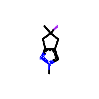 Cn1cc2c(n1)CC(C)(I)C2